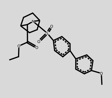 CCOC(=O)C1C2CCC(CC2)N1S(=O)(=O)c1ccc(-c2ccc(OC)cc2)cc1